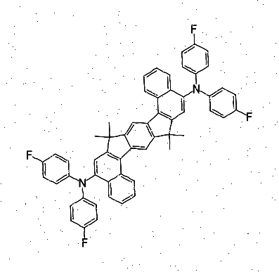 CC1(C)c2cc3c(cc2-c2c1cc(N(c1ccc(F)cc1)c1ccc(F)cc1)c1ccccc21)C(C)(C)c1cc(N(c2ccc(F)cc2)c2ccc(F)cc2)c2ccccc2c1-3